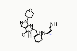 N=C/C=C\Nc1ccccc1Cc1nc2c(cnn2C2CCOCC2)c(=O)[nH]1